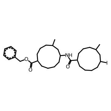 CC1CCCC(C(=O)NC2CCCCC(C(=O)OCc3ccccc3)CCCC(C)C2)CCCCC(I)C1